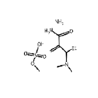 C=C(C(N)=O)C(CC)N(C)C.COS(=O)(=O)O.N